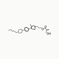 C=C(CO)C(=O)OCCCc1ccc(-c2ccc(C3CCC(CCCCC)CC3)cc2)c(C)c1